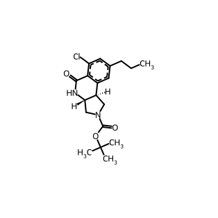 CCCc1cc(Cl)c2c(c1)[C@H]1CN(C(=O)OC(C)(C)C)C[C@@H]1NC2=O